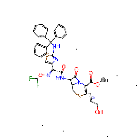 CC(C)(C)OC(=O)C1=C(/C=C/CO)SCC2C(NC(=O)C(=NOC(F)F)c3csc(NC(c4ccccc4)(c4ccccc4)c4ccccc4)n3)C(=O)N12